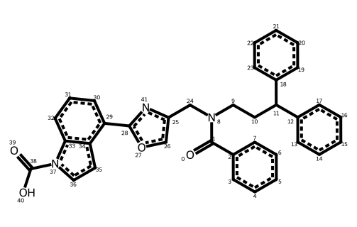 O=C(c1ccccc1)N(CCC(c1ccccc1)c1ccccc1)Cc1coc(-c2cccc3c2ccn3C(=O)O)n1